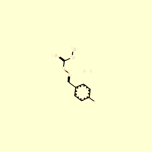 Cl.N=C(NN)NN=Cc1ccc(Br)cc1